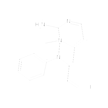 C=CCN(c1ccccc1)[N+]1(C)C(C)=CC=NC1N.[I-]